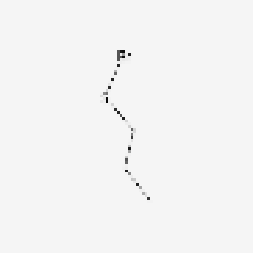 CCCSBr